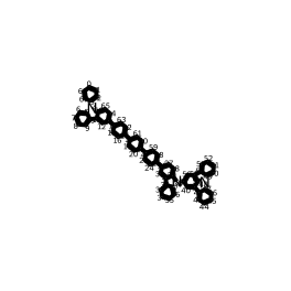 c1ccc(-n2c3ccccc3c3cc(-c4ccc(-c5ccc(-c6ccc(-c7ccc8c(c7)c7ccccc7n8-c7cc8c9ccccc9n9c%10ccccc%10c(c7)c89)cc6)cc5)cc4)ccc32)cc1